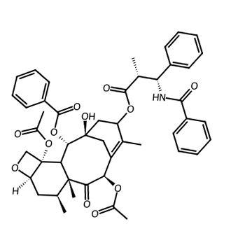 CC(=O)O[C@H]1C(=O)[C@@]2(C)C([C@H](OC(=O)c3ccccc3)[C@@]3(O)CC1=C(C)C(OC(=O)[C@H](C)[C@@H](NC(=O)c1ccccc1)c1ccccc1)C3)[C@]1(OC(C)=O)CO[C@@H]1C[C@@H]2C